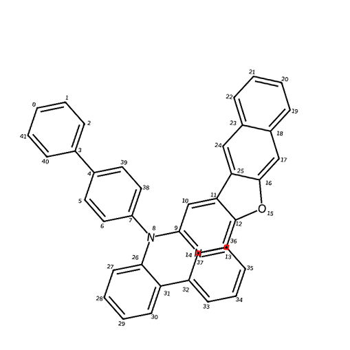 c1ccc(-c2ccc(N(c3cc4c(cn3)oc3cc5ccccc5cc34)c3ccccc3-c3ccccc3)cc2)cc1